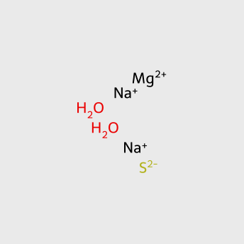 O.O.[Mg+2].[Na+].[Na+].[S-2]